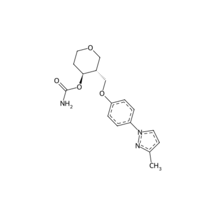 Cc1ccn(-c2ccc(OC[C@H]3COCC[C@@H]3OC(N)=O)cc2)n1